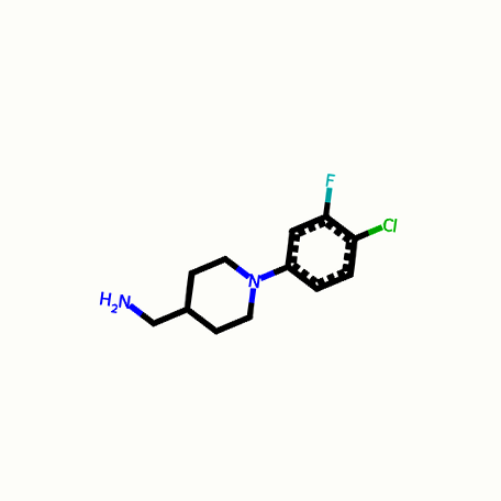 NCC1CCN(c2ccc(Cl)c(F)c2)CC1